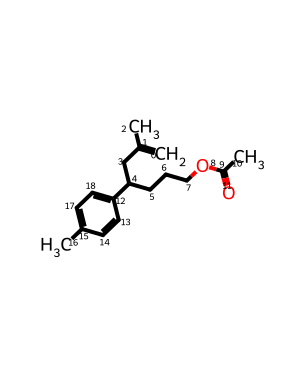 C=C(C)CC(CCCOC(C)=O)c1ccc(C)cc1